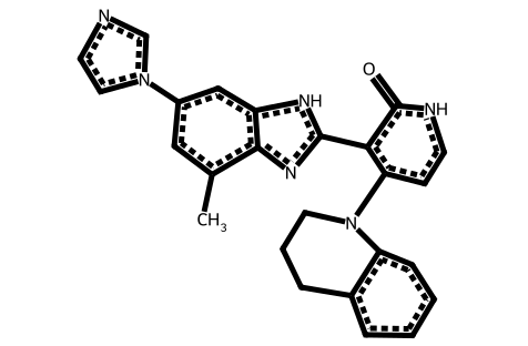 Cc1cc(-n2ccnc2)cc2[nH]c(-c3c(N4CCCc5ccccc54)cc[nH]c3=O)nc12